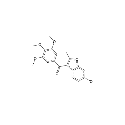 COc1ccc2c(C(=O)c3cc(OC)c(OC)c(OC)c3)c(C)oc2c1